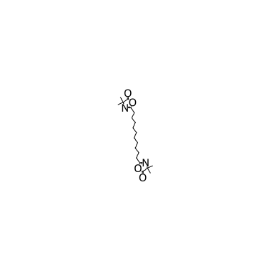 CC1(C)N=C(CCCCCCCCCCC2=NC(C)(C)C(=O)O2)OC1=O